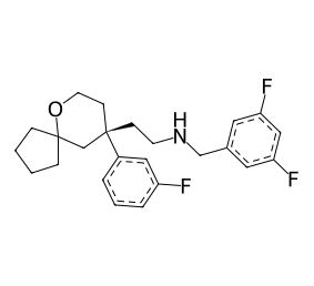 Fc1cc(F)cc(CNCC[C@]2(c3cccc(F)c3)CCOC3(CCCC3)C2)c1